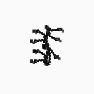 CCCCCCc1cc(Br)sc1-c1cc(CCCCCC)c(-c2sc(-c3sc(-c4ccc(-c5cc(CCCCCC)c(-c6cc(CCCCCC)c(-c7sc(-c8sc(Br)cc8CCCCCC)cc7CCCCCC)s6)s5)c5nsnc45)cc3CCCCCC)cc2CCCCCC)s1